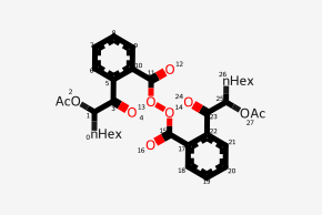 CCCCCCC(OC(C)=O)C(=O)c1ccccc1C(=O)OOC(=O)c1ccccc1C(=O)C(CCCCCC)OC(C)=O